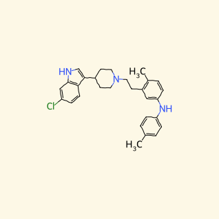 Cc1ccc(Nc2ccc(C)c(CCN3CCC(c4c[nH]c5cc(Cl)ccc45)CC3)c2)cc1